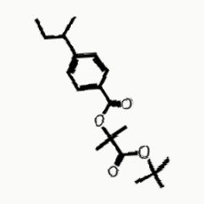 CCC(C)c1ccc(C(=O)OC(C)(C)C(=O)OC(C)(C)C)cc1